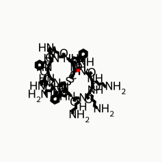 C[C@@H]1NC(=O)[C@@H]2CSSC(NC(=O)[C@H](Cc3c[nH]c4ccccc34)NC(=O)[C@H](CCCCN)NC(=O)[C@H](CCCCN)NC(=O)[C@H](CCCCN)NC1=O)C(=O)N[C@@H](CCCCN)N[C@@H](Cc1c[nH]cn1)C(=O)N[C@H](Cc1ccccc1)C(=O)N[C@@H](Cc1c[nH]cn1)C(=O)N[C@@H](Cc1c[nH]c3ccccc13)C(=O)N2